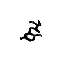 Nn1ccc(Br)cc1=NC(=O)C1(O)CC1